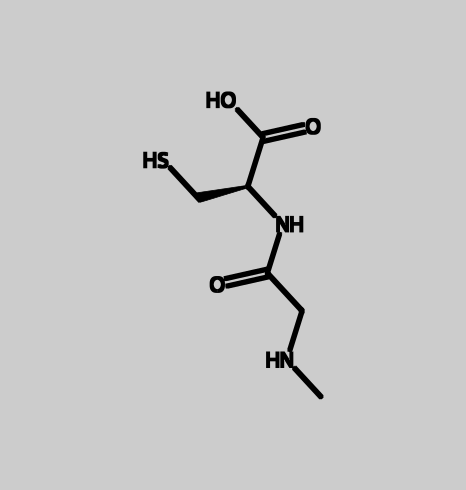 CNCC(=O)N[C@@H](CS)C(=O)O